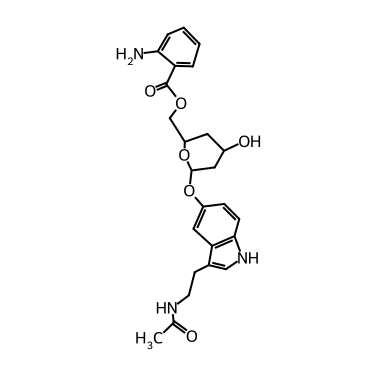 CC(=O)NCCc1c[nH]c2ccc(OC3CC(O)CC(COC(=O)c4ccccc4N)O3)cc12